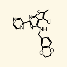 Cc1sc2nc(-c3cnccn3)nc(NCc3ccc4c(c3)OCCO4)c2c1Cl